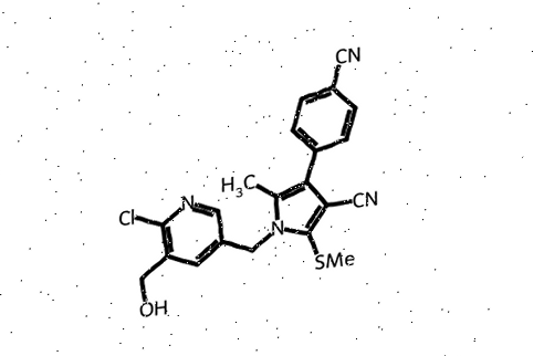 CSc1c(C#N)c(-c2ccc(C#N)cc2)c(C)n1Cc1cnc(Cl)c(CO)c1